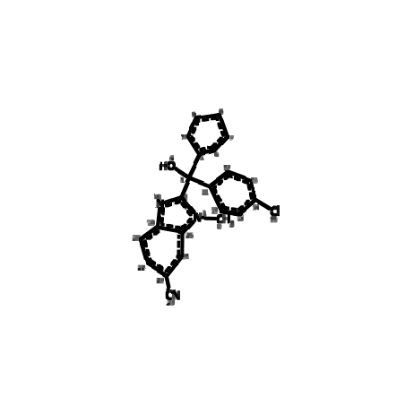 Cn1c(C(O)(c2ccccc2)c2ccc(Cl)cc2)nc2ccc(C#N)cc21